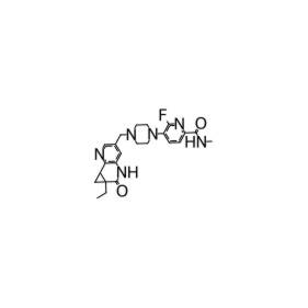 CCC12CC1c1ncc(CN3CCN(c4ccc(C(=O)NC)nc4F)CC3)cc1NC2=O